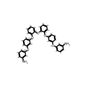 Nc1cccc(Oc2cccc(Oc3ccccc3Oc3ccccc3Oc3cccc(Oc4cccc(N)c4)c3)c2)c1